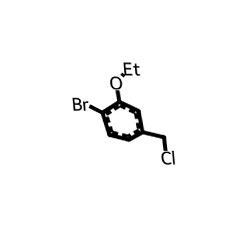 CCOc1cc(CCl)ccc1Br